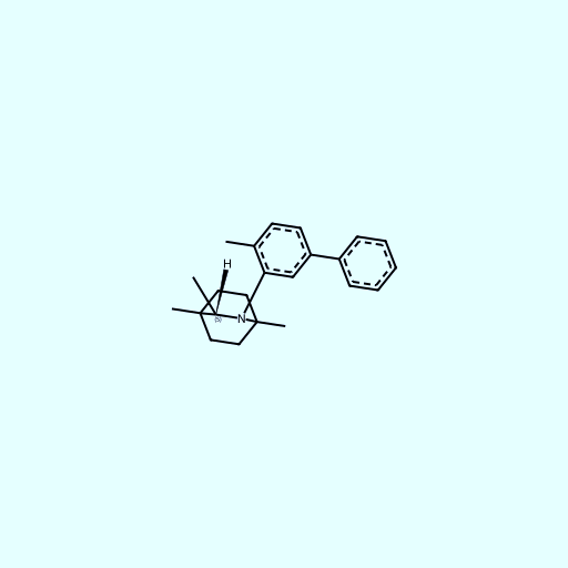 Cc1ccc(-c2ccccc2)cc1N1[C@@H](C)C2(C)CCC1(C)CC2